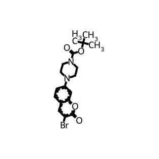 CC(C)(C)OC(=O)N1CCN(c2ccc3cc(Br)c(=O)oc3c2)CC1